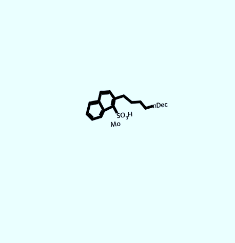 CCCCCCCCCCCCCCc1ccc2ccccc2c1S(=O)(=O)O.[Mo]